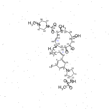 C/C(=C\c1cc(F)cc(N2CC[C@H](NS(C)(=O)=O)C2)c1)[C@H]1C(=O)C(=O)C[C@H](O)CC[C@H](C)[C@@H](OC(=O)N2CCN(C)CC2)/C=C/[C@@H]1C